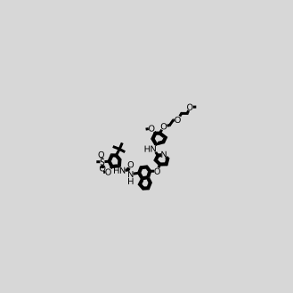 COCCOCCOc1ccc(Nc2cc(Oc3ccc(NC(=O)Nc4cc(C(C)(C)C)cc(S(C)(=O)=O)c4OC)c4ccccc34)ccn2)cc1OC